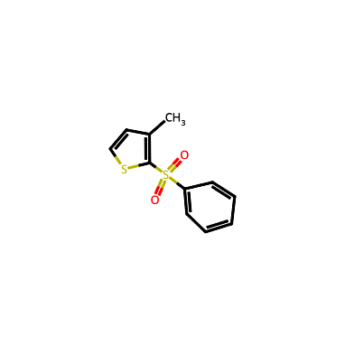 Cc1ccsc1S(=O)(=O)c1ccccc1